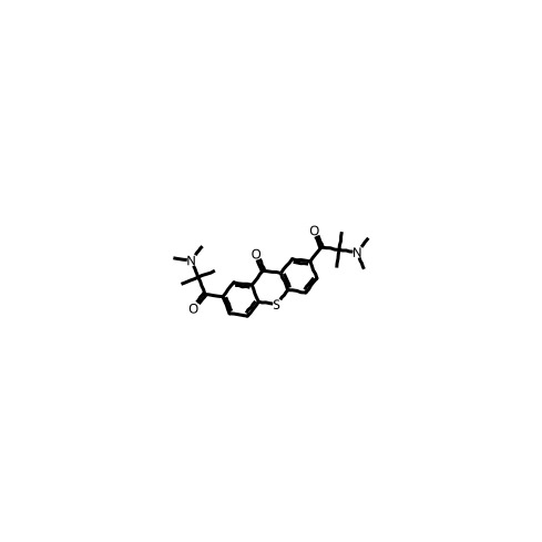 CN(C)C(C)(C)C(=O)c1ccc2sc3ccc(C(=O)C(C)(C)N(C)C)cc3c(=O)c2c1